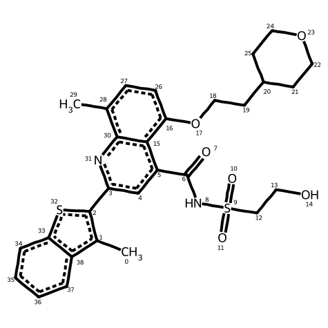 Cc1c(-c2cc(C(=O)NS(=O)(=O)CCO)c3c(OCCC4CCOCC4)ccc(C)c3n2)sc2ccccc12